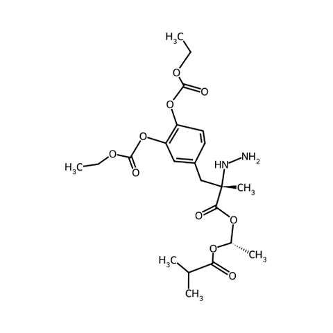 CCOC(=O)Oc1ccc(C[C@](C)(NN)C(=O)O[C@H](C)OC(=O)C(C)C)cc1OC(=O)OCC